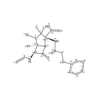 CC1(C)[S+]([O-])[C@@H]2[C@H](NC=O)C(=O)N2[C@@]1(NC(=O)COc1ccccc1)C(=O)O